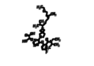 CCOCCN(C)CCCC(C(C)C)N1CC2(CCN(c3ncnnc3Oc3ccc(F)cc3C(=O)N(CC)C(C)C)C2)C1.O=C(O)C(=O)O